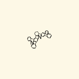 c1ccc2c(c1)oc1cc3c(cc12)-n1c2c(c4c5c6ccccc6n6c7ccccc7c(cc41)c56)CCCC32